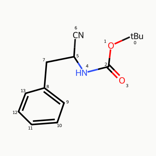 CC(C)(C)OC(=O)NC(C#N)Cc1ccccc1